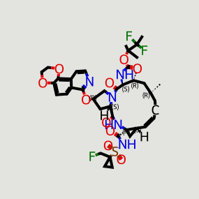 C[C@@H]1CCC=C[C@@H]2C[C@@]2(C(=O)NS(=O)(=O)C2(CF)CC2)NC(=O)[C@@H]2C[C@@H](Oc3nccc4c5c(ccc34)OCCO5)CN2C(=O)[C@@H](NC(=O)OC(C)(C)C(C)(F)F)[C@H](C)C1